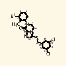 Cc1c(Br)cccc1-n1ccn2c(SCc3cc(Cl)cc(Cl)c3)nnc2c1=O